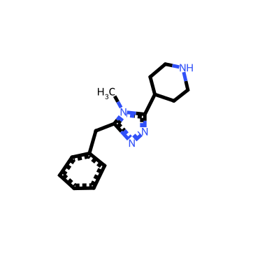 Cn1c(Cc2ccccc2)nnc1C1CCNCC1